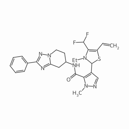 C=CC1=C(C(F)F)N(CC)C(c2cnn(C)c2C(=O)NC2CCn3nc(-c4ccccc4)nc3C2)S1